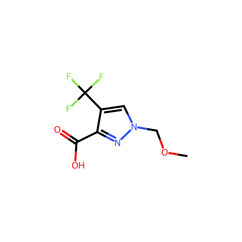 COCn1cc(C(F)(F)F)c(C(=O)O)n1